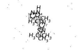 CC(C)(C)c1nc2cnc(C(C)(C)c3c[nH]c4ncccc34)cc2s1